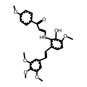 COc1ccc(C(=O)C=CNc2c(C=Cc3cc(OC)c(OC)c(OC)c3)ccc(OC)c2O)cc1